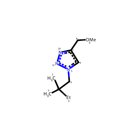 CCC(C)(C)Cn1cc(COC)nn1